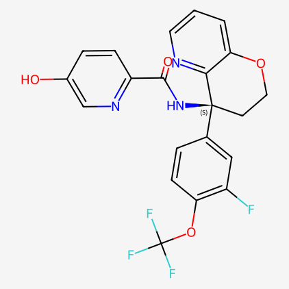 O=C(N[C@]1(c2ccc(OC(F)(F)F)c(F)c2)CCOc2cccnc21)c1ccc(O)cn1